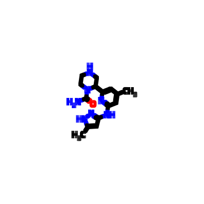 Cc1cc(Nc2cc(C)[nH]n2)nc(C2CNCCN2C(N)=O)c1